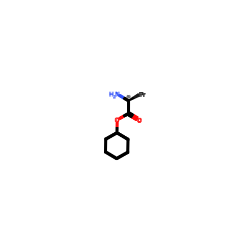 CC(C)[C@H](N)C(=O)OC1CCCCC1